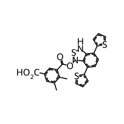 Cc1cc(C(=O)O)cc(C(=O)ON2SNc3c(-c4cccs4)ccc(-c4cccs4)c32)c1C